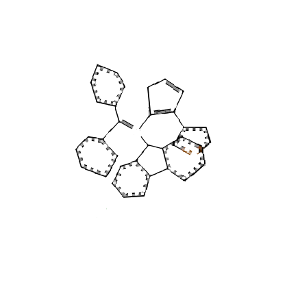 C1=CC(c2ccsc2)=[C]([Zr+2](=[C](c2ccccc2)c2ccccc2)[CH]2c3ccccc3-c3ccccc32)C1.[Cl-].[Cl-]